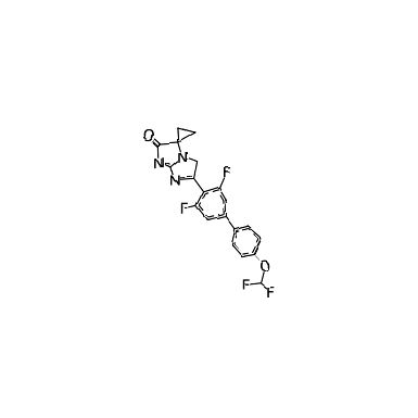 O=C1N=C2N=C(c3c(F)cc(-c4ccc(OC(F)F)cc4)cc3F)CN2C12CC2